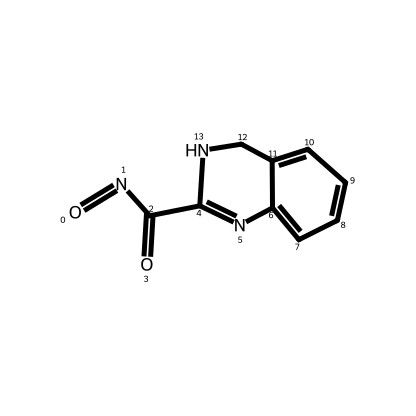 O=NC(=O)C1=Nc2ccccc2CN1